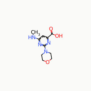 CNc1cc(C(=O)O)nc(N2CCOCC2)n1